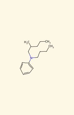 CCCCN(CC(C)CCC)c1ccccc1